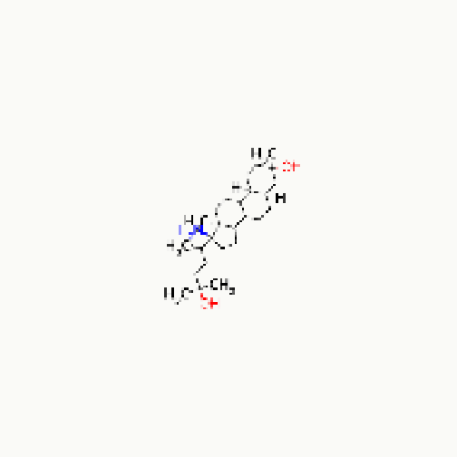 C[C@H](CCC(C)(C)O)[C@@]1(N)CCC2C3CC[C@@H]4C[C@](C)(O)CC[C@@H]4C3CC[C@@]21C